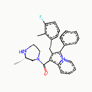 Cc1c(F)cccc1Cc1c(C(=O)N2CCN[C@@H](C)C2)c2ccccn2c1-c1ccccc1